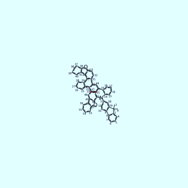 CC1(C)c2ccccc2-c2ccc(N(c3ccccc3-c3ccc4c5ccccc5c5c(ccc6oc7ccccc7c65)c4c3)c3cccc4c3oc3ccccc34)cc21